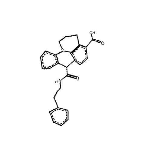 O=C(O)c1ccc(C(C(=O)NCCc2ccccc2)c2ccccc2N2CCCCC2)cc1